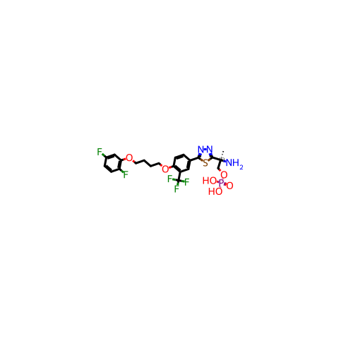 C[C@](N)(COP(=O)(O)O)c1nnc(-c2ccc(OCCCCOc3cc(F)ccc3F)c(C(F)(F)F)c2)s1